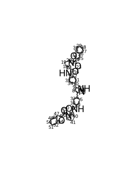 O=C(Nc1ccc(-c2cc(-c3ccc(NC(=O)[C@@H]4CCCN4C(=O)c4cc5ccccc5o4)cc3)[nH]n2)cc1)[C@@H]1CCCN1C(=O)c1cc2ccccc2o1